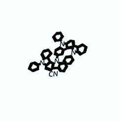 N#Cc1cc2c(c3ccccc3n2-c2ccccc2)c2c1c1ccccc1n2-c1ccc2c(c1)c1c(ccc3c4ccccc4n(-c4ccccc4)c31)n2-c1ccccc1